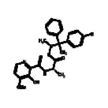 COc1ccnc(C(=O)N[C@@H](C)C(=O)ON(C)C(C)(c2ccccc2)c2ccc(Cl)cc2)c1O